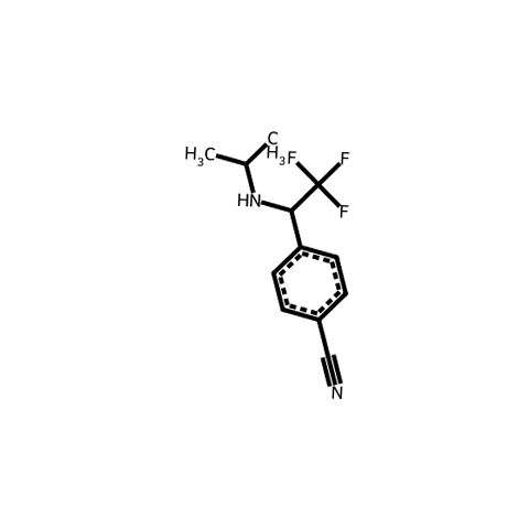 CC(C)NC(c1ccc(C#N)cc1)C(F)(F)F